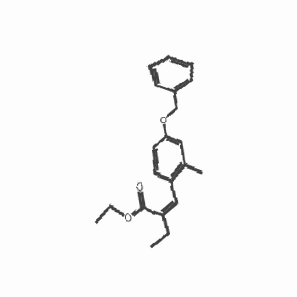 CCOC(=O)/C(=C\c1ccc(OCc2ccccc2)cc1C)CC